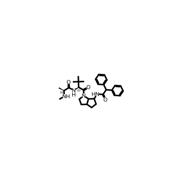 CN[C@@H](C)C(=O)N[C@H](C(=O)N1CCC2CCC(NC(=O)C(c3ccccc3)c3ccccc3)C21)C(C)(C)C